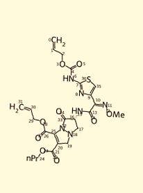 C=CCOC(=O)Nc1nc(/C(=N/OC)C(=O)N[C@@H]2CN3CC(C(=O)OCCC)=C(C(=O)OCC=C)N3C2=O)cs1